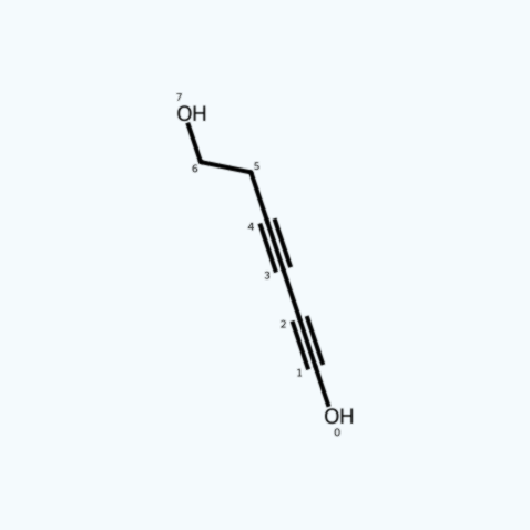 OC#CC#CCCO